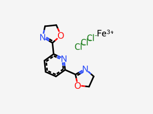 [Cl-].[Cl-].[Cl-].[Fe+3].c1cc(C2=NCCO2)nc(C2=NCCO2)c1